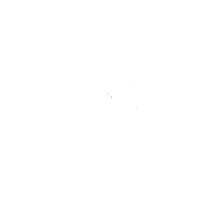 CCC(C)(C)N1CCC2(CCC2)C1